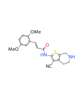 COc1ccc(OC)c(C=CC(=O)Nc2sc3c(c2C#N)CCNC3)c1